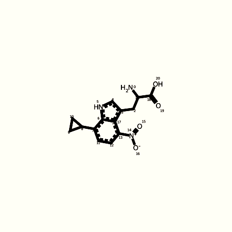 NC(Cc1c[nH]c2c(C3CC3)ccc([N+](=O)[O-])c12)C(=O)O